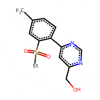 CCS(=O)(=O)c1cc(C(F)(F)F)ccc1-c1cc(CO)ncn1